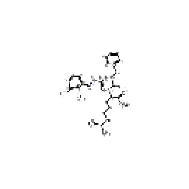 COC(=O)C(CCCNC(N)N)NC(=O)C(Cc1ccccc1)NC(=O)/N=N/c1cccc(C)c1C